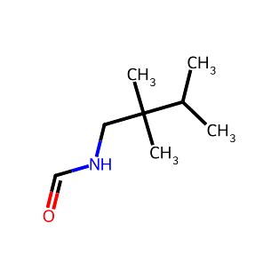 CC(C)C(C)(C)CNC=O